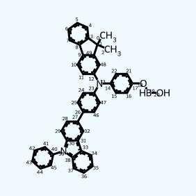 CC1(C)c2ccccc2-c2ccc(N(c3ccc(OBO)cc3)c3ccc(-c4ccc5c(c4)c4ccccc4n5-c4ccccc4)cc3)cc21